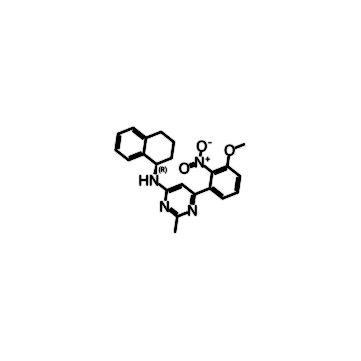 COc1cccc(-c2cc(N[C@@H]3CCCc4ccccc43)nc(C)n2)c1[N+](=O)[O-]